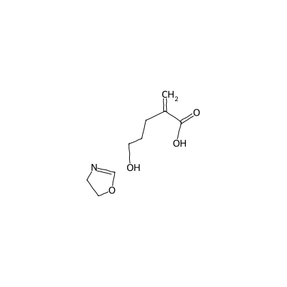 C1=NCCO1.C=C(CCCO)C(=O)O